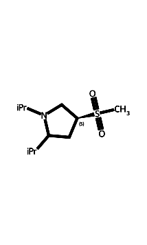 CC(C)C1C[C@H](S(C)(=O)=O)CN1C(C)C